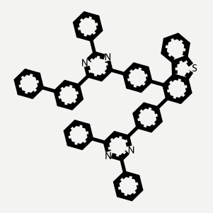 c1ccc(-c2cccc(-c3cc(-c4ccc(-c5c(-c6ccc(-c7cc(-c8ccccc8)nc(-c8ccccc8)n7)cc6)ccc6sc7ccccc7c56)cc4)nc(-c4ccccc4)n3)c2)cc1